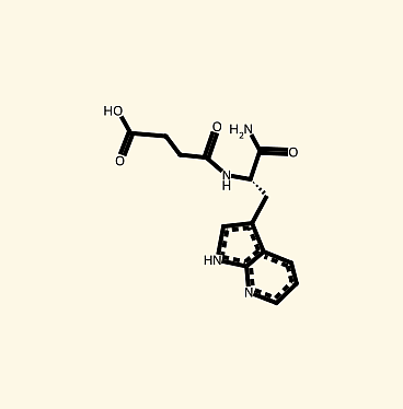 NC(=O)[C@H](Cc1c[nH]c2ncccc12)NC(=O)CCC(=O)O